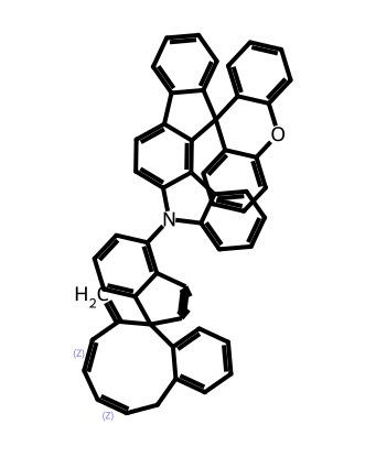 C=C1/C=C\C=C/Cc2ccccc2C12c1ccccc1-c1c(-n3c4ccccc4c4c5c(ccc43)-c3ccccc3C53c4ccccc4Oc4ccccc43)cccc12